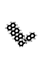 c1ccc2[nH]cnc2c1.c1ccc2ccccc2c1.c1ccc2ccccc2c1.c1ccc2ccccc2c1.c1ccc2ccccc2c1